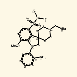 CCN(CC)S(=O)(=O)c1ccc(OC)c2c1C1(CCN(CC(C)(C)C)CC1)CN2c1ccccc1N